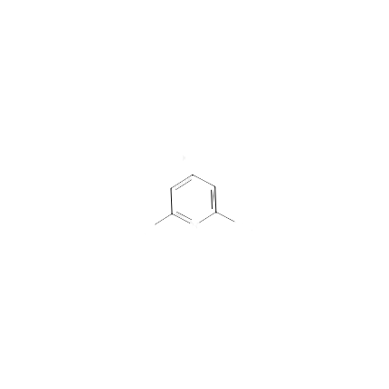 Cl.O=C(O)c1cccc(C(=O)O)n1